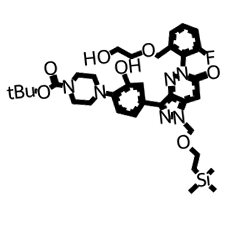 CC(C)(C)OC(=O)N1CCN(c2ccc(-c3nn(COCC[Si](C)(C)C)c4cc(=O)n(-c5c(F)cccc5COCCO)nc34)cc2O)CC1